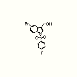 O=S(=O)(c1ccc(F)cc1)n1cc(CO)c2cc(Br)ccc21